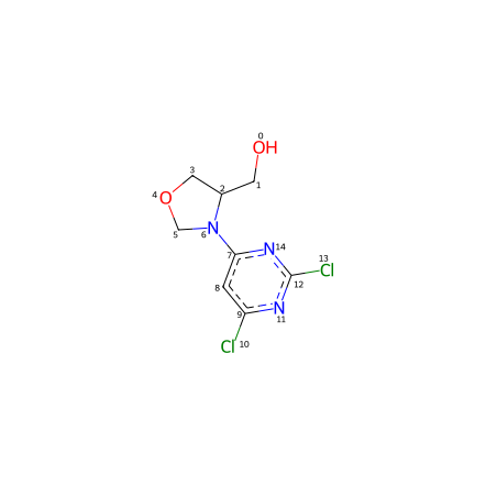 OCC1COCN1c1cc(Cl)nc(Cl)n1